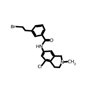 CN1CCc2c(Cl)cc(NC(=O)c3cccc(CCBr)c3)cc2C1